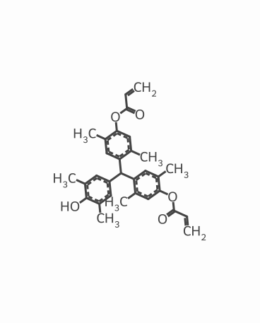 C=CC(=O)Oc1cc(C)c(C(c2cc(C)c(O)c(C)c2)c2cc(C)c(OC(=O)C=C)cc2C)cc1C